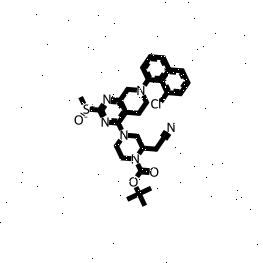 C[S+]([O-])c1nc2c(c(N3CCN(C(=O)OC(C)(C)C)C(CC#N)C3)n1)CCN(c1cccc3cccc(Cl)c13)C2